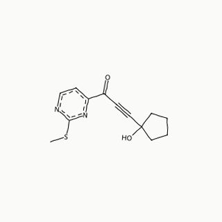 CSc1nccc(C(=O)C#CC2(O)CCCC2)n1